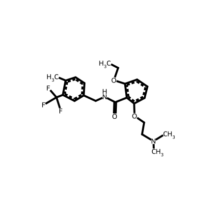 CCOc1cccc(OCCN(C)C)c1C(=O)NCc1ccc(C)c(C(F)(F)F)c1